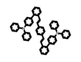 C(=Cc1ccccc1-c1ccc(N(c2ccccc2)c2ccccc2)cc1)c1ccc(C=Cc2ccccc2-c2ccc(N(c3ccccc3)c3ccccc3)cc2)cc1